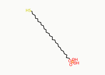 O=P(O)(O)OCCCCCCCCCCCCCCCCCCCCCCCCCCCS